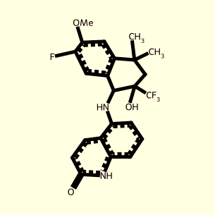 COc1cc2c(cc1F)C(Nc1cccc3[nH]c(=O)ccc13)C(O)(C(F)(F)F)CC2(C)C